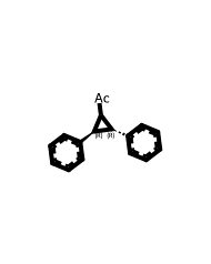 CC(=O)C1[C@H](c2ccccc2)[C@H]1c1ccccc1